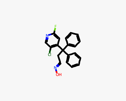 ON=CCC(c1ccccc1)(c1ccccc1)c1cc(F)ncc1Cl